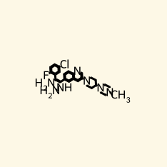 CN1CCN(C2CCN(c3cnc4ccc(/C(NN)=C(/N)c5cc(Cl)ccc5F)cc4c3)CC2)CC1